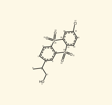 CC(CO)c1ccc2c(c1)S(=O)(=O)c1ccc(Cl)cc1S2(=O)=O